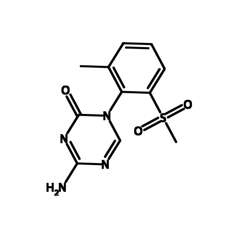 Cc1cccc(S(C)(=O)=O)c1-n1cnc(N)nc1=O